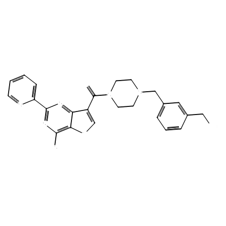 O=C(c1csc2c(O)nc(-c3ccccn3)nc12)N1CCN(Cc2cccc(CO)c2)CC1